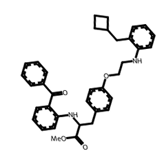 COC(=O)C(Cc1ccc(OCCNc2ccccc2CC2CCC2)cc1)Nc1ccccc1C(=O)c1ccccc1